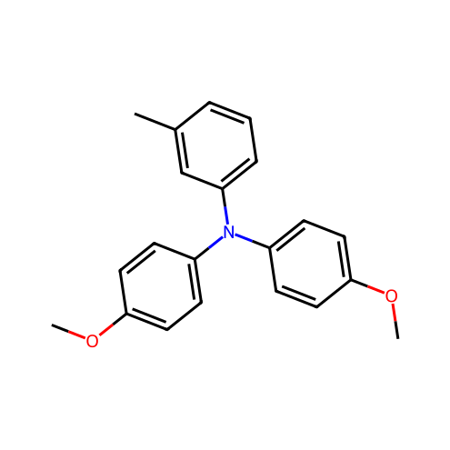 COc1ccc(N(c2ccc(OC)cc2)c2cccc(C)c2)cc1